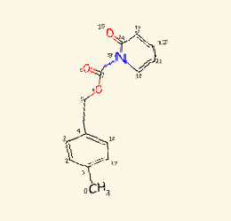 Cc1ccc(COC(=O)n2ccccc2=O)cc1